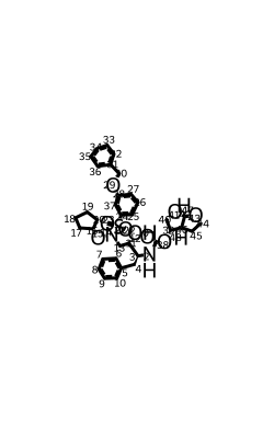 O=C(N[C@@H](Cc1ccccc1)[C@@H](O)CN(OC1CCCC1)S(=O)(=O)c1cccc(OCc2ccccc2)c1)O[C@H]1CO[C@H]2OCC[C@H]21